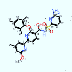 CCOc1cc(C)cc(-c2ccc(C(O)NS(=O)(=O)c3cccc(N)n3)c(Oc3c(C)cc(C)cc3C)n2)n1